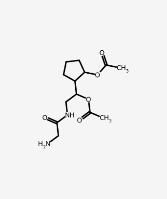 CC(=O)OC1CCCC1C(CNC(=O)CN)OC(C)=O